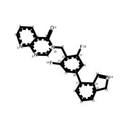 O=c1c2cccnc2ncn1Cc1c(F)cc(-c2cccc3c2C=NC3)cc1F